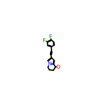 O=C1CCCn2cc(C#Cc3ccc(F)c(F)c3)cc21